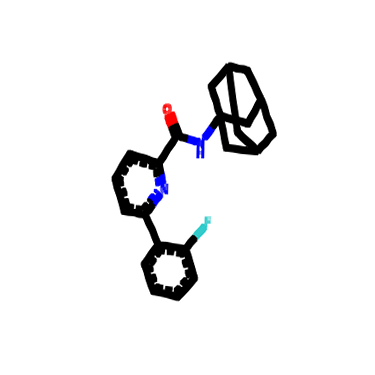 O=C(NC12CC3CC(CC(C3)C1)C2)c1cccc(-c2ccccc2F)n1